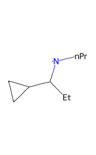 CCC[N]C(CC)C1CC1